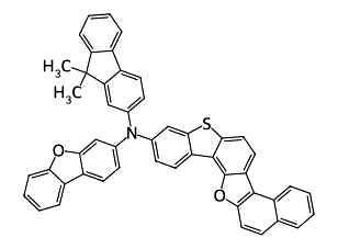 CC1(C)c2ccccc2-c2ccc(N(c3ccc4c(c3)oc3ccccc34)c3ccc4c(c3)sc3ccc5c(oc6ccc7ccccc7c65)c34)cc21